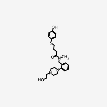 CN(Cc1ccccc1N1CCN(CCO)CC1)C(=O)CCCSc1ccc(O)cc1